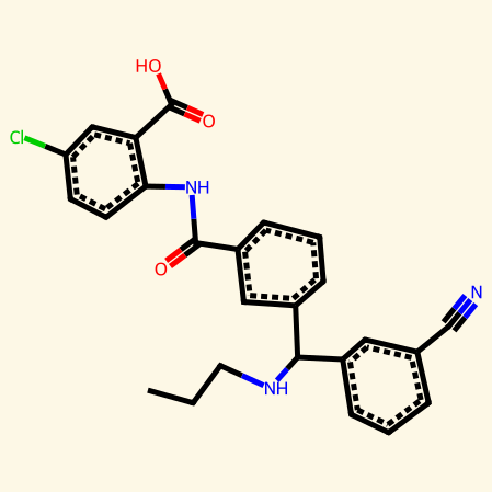 CCCNC(c1cccc(C#N)c1)c1cccc(C(=O)Nc2ccc(Cl)cc2C(=O)O)c1